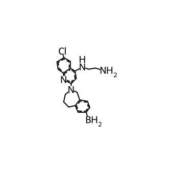 Bc1ccc2c(c1)CCCN(c1cc(NCCN)c3cc(Cl)ccc3n1)C2